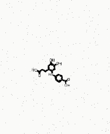 O=C(O)CCc1cc(O)c(O)cc1Nc1ccc(C(=O)O)cc1